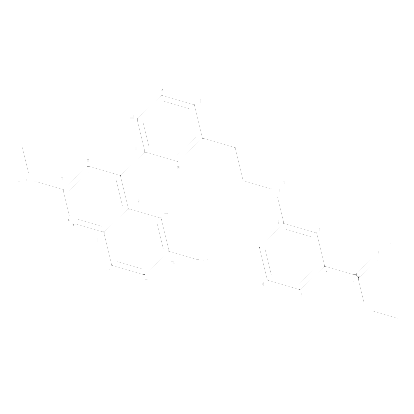 COC(=O)c1cccc(OCCc2cccc(-c3cc(OC)nc4ccc(Br)cc34)c2)c1